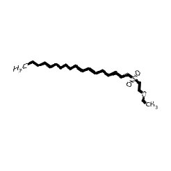 CCCCCCCCCCCCCCCCCCS(=O)(=O)CCOCC